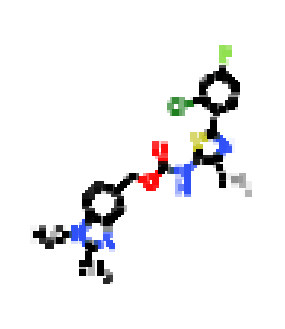 Cc1nc(-c2ccc(F)cc2Cl)sc1NC(=O)OCc1ccc2c(c1)nc(C)n2C